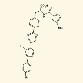 CC(C)c1ccc(-c2ccc(-c3cnc(-c4ccc(C[C@H](NC(=O)c5ccc(C(C)(C)C)s5)C(=O)O)cc4)nc3)c(F)c2)cc1